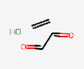 C=C.Cl.O=CC=O